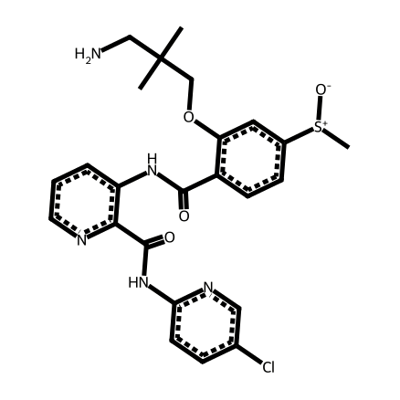 C[S+]([O-])c1ccc(C(=O)Nc2cccnc2C(=O)Nc2ccc(Cl)cn2)c(OCC(C)(C)CN)c1